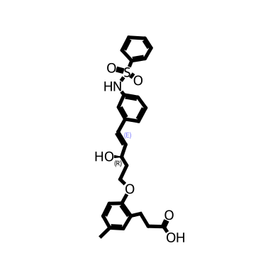 Cc1ccc(OCC[C@@H](O)/C=C/c2cccc(NS(=O)(=O)c3ccccc3)c2)c(CCC(=O)O)c1